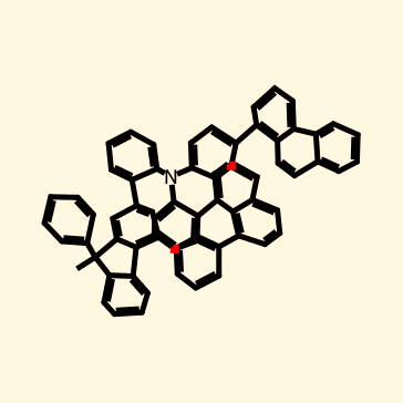 CC1(c2ccccc2)c2ccccc2-c2ccc(-c3ccccc3N(c3ccc(-c4cccc5c4ccc4ccccc45)cc3)c3ccccc3-c3cccc4cccc(-c5ccccc5)c34)cc21